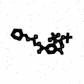 COc1ccc(C(=O)OCC(=O)OCc2ccccc2)cc1N(C(=O)OC(C)(C)C)S(C)(=O)=O